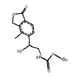 Cc1c(C(O)CNC(=O)OC(C)(C)C)ccc2c1COC2=O